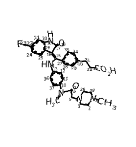 CN1CCN(CC(=O)N(C)c2ccc(NC(=C3C(=O)Nc4cc(F)ccc43)c3ccc(CCC(=O)O)cc3)cc2)CC1